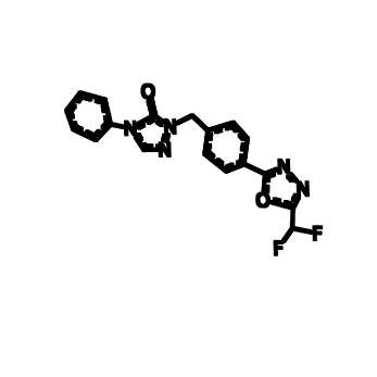 O=c1n(-c2ccccc2)cnn1Cc1ccc(-c2nnc(C(F)F)o2)cc1